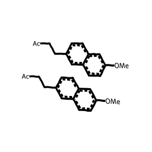 COc1ccc2cc(CCC(C)=O)ccc2c1.COc1ccc2cc(CCC(C)=O)ccc2c1